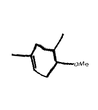 COC1CC=C(C)CC1C